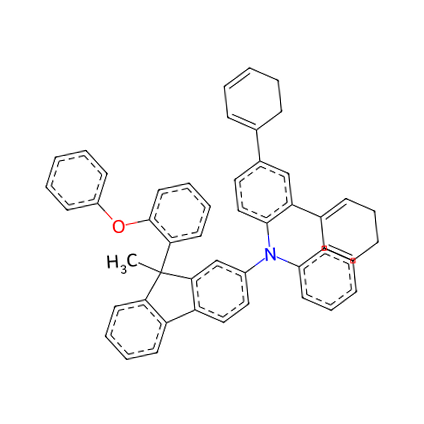 CC1(c2ccccc2Oc2ccccc2)c2ccccc2-c2ccc(N(c3ccccc3)c3ccc(C4=CC=CCC4)cc3C3=CCCC=C3)cc21